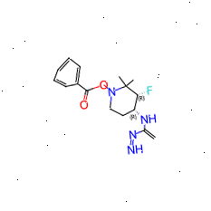 C=C(N=N)N[C@@H]1CCN(OC(=O)c2ccccc2)C(C)(C)[C@@H]1F